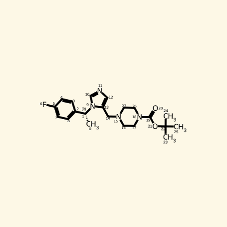 C[C@H](c1ccc(F)cc1)n1cncc1CN1CCN(C(=O)OC(C)(C)C)CC1